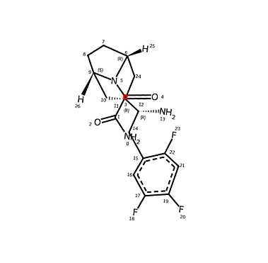 NC(=O)C(=O)N1[C@@H]2CC[C@H]1C[C@@H]([C@H](N)Cc1cc(F)c(F)cc1F)C2